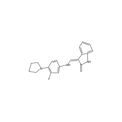 O=C1Nc2ccccc2C1=CNc1ccc(N2CCCC2)c(F)c1